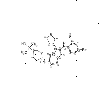 CC(C)(O)C1CCC(Nc2ncc3c(n2)C(C2CCCC2)C(Nc2ccc(F)cc2F)=N3)CC1